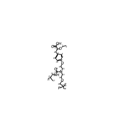 CCOC(Cc1ccc(OCCN(CCOCC(C)(F)F)C(=O)NCC(C)C)cc1)C(=O)O